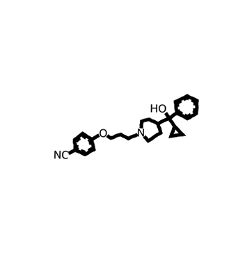 N#Cc1ccc(OCCCN2CCC(C(O)(c3ccccc3)C3CC3)CC2)cc1